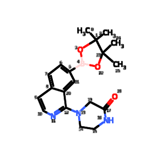 CC1(C)OB(c2ccc3ccnc(N4CCNC(=O)C4)c3c2)OC1(C)C